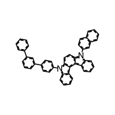 c1ccc(-c2cccc(-c3ccc(-n4c5ccccc5c5c6c7ccccc7n(-c7ccc8ccccc8c7)c6ccc54)cc3)c2)cc1